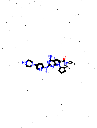 CN(C)C(=O)c1cc2c(N)nc(Nc3ccc(N4CCNCC4)cn3)nc2n1C1CCCC1